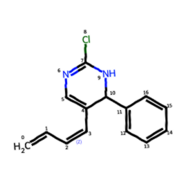 C=C/C=C\C1=CN=C(Cl)NC1c1ccccc1